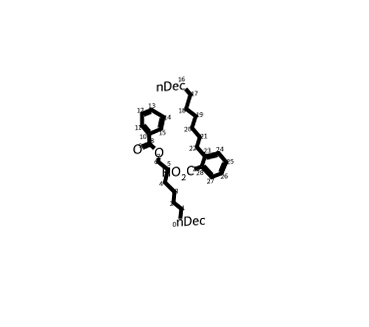 CCCCCCCCCCCCCCCCOC(=O)c1ccccc1.CCCCCCCCCCCCCCCCc1ccccc1C(=O)O